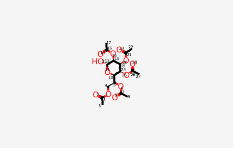 CC(=O)OC[C@H](OC(C)=O)[C@H]1O[C@H](O)[C@@H](OC(C)=O)[C@@H](OC(C)=O)[C@@H]1OC(C)=O